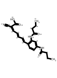 CCCC(=O)Nc1ccc(C=CC=CC=C(C#N)C(=O)O)c(NC(=O)CCC)c1